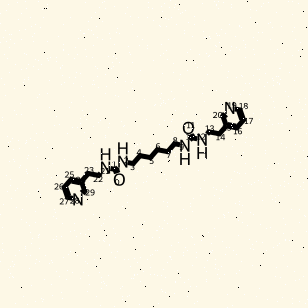 O=C(NCCCCCCNC(=O)NCCc1cccnc1)NCCc1cccnc1